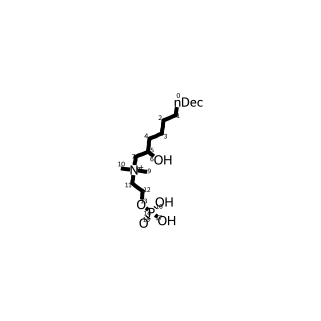 CCCCCCCCCCCCCCC(O)C[N+](C)(C)CCOP(=O)(O)O